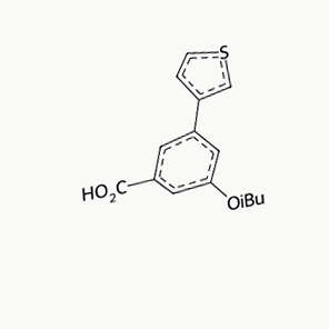 CC(C)COc1cc(C(=O)O)cc(-c2ccsc2)c1